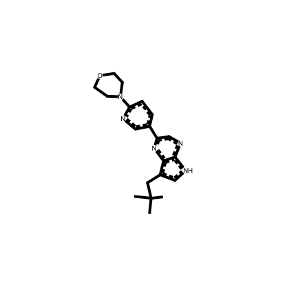 CC(C)(C)Cc1c[nH]c2ncc(-c3ccc(N4CCOCC4)nc3)nc12